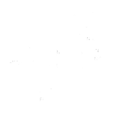 CCOC(=O)Cc1c(C)cc2nc(-c3ccc4c(c3)c(N3CC5(CCCCC5)C3)nn4C)sc2c1-c1ccc(CC)cc1